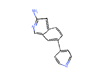 Nc1cc2ccc(-c3ccncc3)cc2cn1